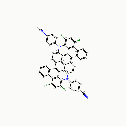 [C-]#[N+]c1ccc(N(c2cc(-c3ccccc3)c(F)cc2F)c2ccc3ccc4c(N(c5ccc(C#N)cc5)c5cc(-c6ccccc6)c(F)cc5F)ccc5ccc2c3c54)cc1